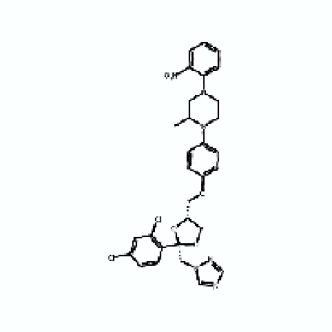 CC1CN(c2ccccc2[N+](=O)[O-])CCN1c1ccc(OC[C@@H]2CO[C@@](Cn3cncn3)(c3ccc(Cl)cc3Cl)O2)cc1